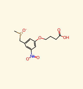 C[S+]([O-])Cc1cc(OCCCC(=O)O)cc([N+](=O)[O-])c1